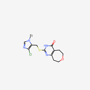 CCn1cnc(Cl)c1CSc1nc2c(c(=O)[nH]1)CCOCC2